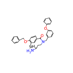 NCCCN(Cc1cccc(Oc2ccccc2)c1)C(=O)c1ccc(OCc2ccccc2)c([SiH3])c1